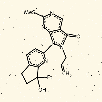 C=CCn1c(=O)c2cnc(SC)nc2n1-c1ccc2c(n1)C(O)(CC)CC2